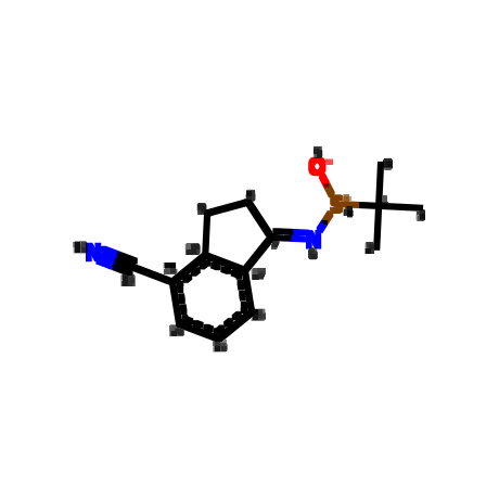 CC(C)(C)[S+]([O-])N=C1CCc2c(C#N)cccc21